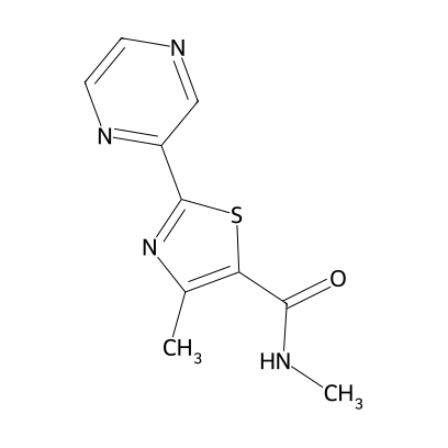 CNC(=O)c1sc(-c2cnccn2)nc1C